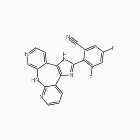 N#Cc1cc(F)cc(F)c1-c1nc2c([nH]1)-c1ccncc1Nc1ncccc1-2